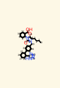 CCCCc1cn(-c2ccccc2C(=O)O)c(=O)n1Cc1ccc(-c2ccccc2-c2nnn[nH]2)cc1